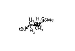 CSC(C)CCCNC(=O)C(C)(C)CCC(C)(C)CCOCC(C)(C)C